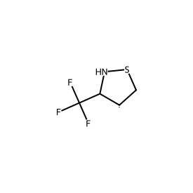 FC(F)(F)C1[CH]CSN1